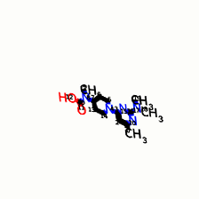 Cc1cc(N2CCC(N(C)C(=O)O)CC2)nc(N(C)C)n1